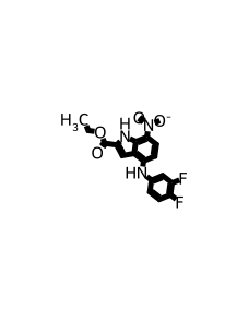 CCOC(=O)c1cc2c(Nc3ccc(F)c(F)c3)ccc([N+](=O)[O-])c2[nH]1